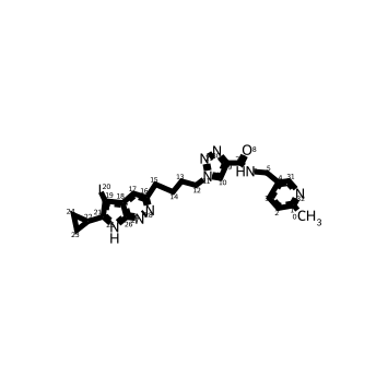 Cc1ccc(CNC(=O)c2cn(CCCCc3cc4c(I)c(C5CC5)[nH]c4nn3)nn2)cn1